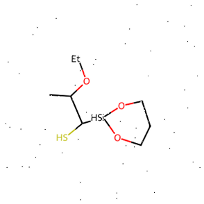 CCOC(C)C(S)[SiH]1OCCCO1